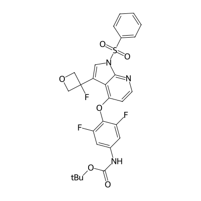 CC(C)(C)OC(=O)Nc1cc(F)c(Oc2ccnc3c2c(C2(F)COC2)cn3S(=O)(=O)c2ccccc2)c(F)c1